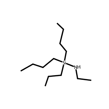 CCCC[Si](CCC)(CCCC)NCC